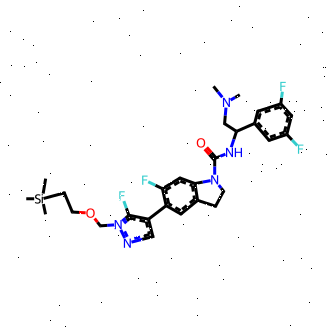 CN(C)CC(NC(=O)N1CCc2cc(-c3cnn(COCC[Si](C)(C)C)c3F)c(F)cc21)c1cc(F)cc(F)c1